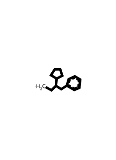 [CH2]CC(Cc1ccccc1)C1CCCC1